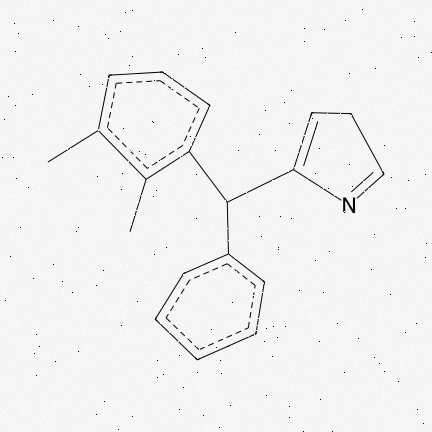 Cc1cccc(C(C2=CCC=N2)c2ccccc2)c1C